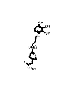 CCCc1c(OCCCS(=O)(=O)c2ccc(CC(=O)OC)cn2)ccc(C(C)=O)c1O